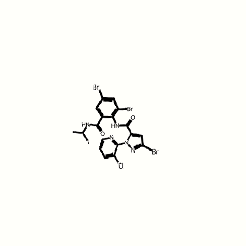 CC(I)NC(=O)c1cc(Br)cc(Br)c1NC(=O)c1cc(Br)nn1-c1ncccc1Cl